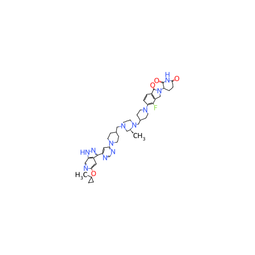 C[C@H]1CN(CC2CCN(c3cc(-c4n[nH]c5cnc(OC6(C)CC6)cc45)ncn3)CC2)CCN1CC1CCN(c2ccc3c(c2F)CN(C2CCC(=O)NC2=O)C3=O)CC1